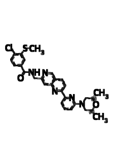 CSc1cc(C(=O)NCc2cc3nc(-c4cccc(N5C[C@@H](C)O[C@@H](C)C5)n4)ccc3cn2)ccc1Cl